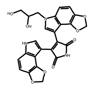 O=C1NC(=O)C(c2cn(CC(O)CO)c3ccc4c(c23)OCO4)=C1c1c[nH]c2ccc3c(c12)OCO3